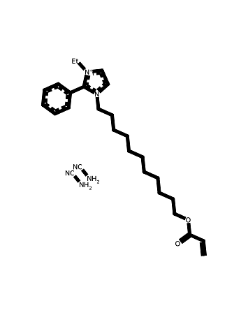 C=CC(=O)OCCCCCCCCCCCn1cc[n+](CC)c1-c1ccccc1.N#CN.N#CN